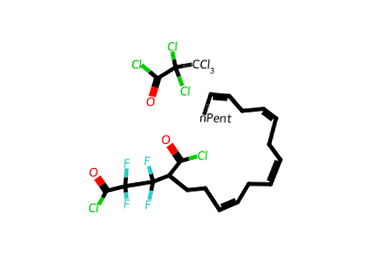 CCCCC/C=C\C/C=C\C/C=C\C/C=C\CCC(C(=O)Cl)C(F)(F)C(F)(F)C(=O)Cl.O=C(Cl)C(Cl)(Cl)C(Cl)(Cl)Cl